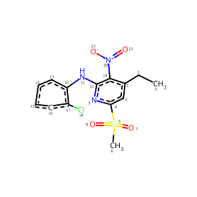 CCc1cc(S(C)(=O)=O)nc(Nc2ccccc2Cl)c1[N+](=O)[O-]